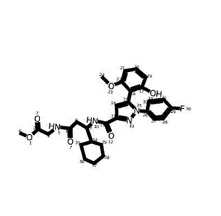 COC(=O)CNC(=O)CC(NC(=O)c1cc(-c2c(O)cccc2OC)n(C2=C=C=C(F)C=C2)n1)C1CCCCC1